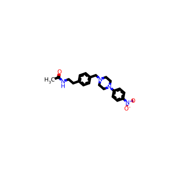 CC(=O)NCCc1ccc(CN2CCN(c3ccc([N+](=O)[O-])cc3)CC2)cc1